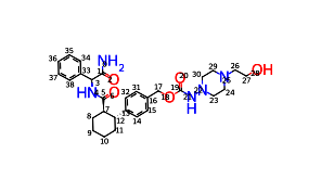 NC(=O)[C@@H](NC(=O)[C@@H]1CCCC[C@H]1c1ccc(COC(=O)NN2CCN(CCO)CC2)cc1)c1ccccc1